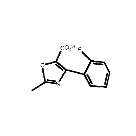 Cc1nc(-c2ccccc2F)c(C(=O)O)o1